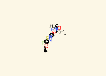 CC(=O)N[C@@H](C)COC1CCN(c2nc3cc(OCC4CC4)c(F)cc3s2)CC1